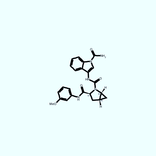 COc1cccc(NC(=O)[C@@H]2C[C@H]3C[C@H]3N2C(=O)Nc2cn(C(N)=O)c3ccccc23)c1